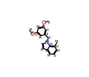 COc1cc(Cn2ccc3cccc(C)c32)cc(OC)c1